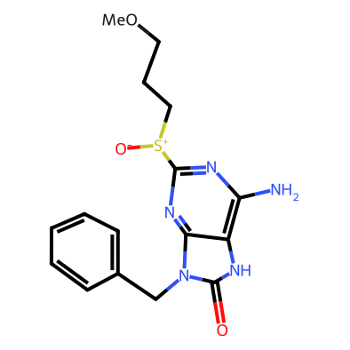 COCCC[S+]([O-])c1nc(N)c2[nH]c(=O)n(Cc3ccccc3)c2n1